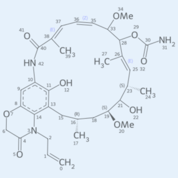 C=CCN1C(=O)COc2cc3c(O)c(c21)C[C@@H](C)C[C@H](OC)C(O)[C@@H](C)/C=C(\C)C(OC(N)=O)C(OC)/C=C\C=C(/C)C(=O)N3